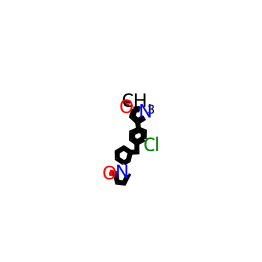 COc1cncc(-c2ccc(CC3CCCC(N4CCCC4=O)C3)c(Cl)c2)c1